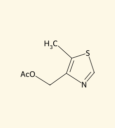 CC(=O)OCc1ncsc1C